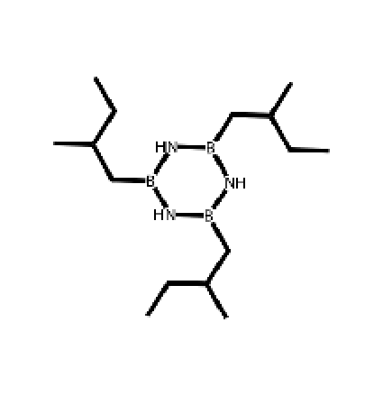 CCC(C)CB1NB(CC(C)CC)NB(CC(C)CC)N1